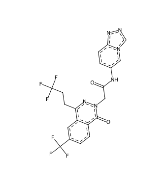 O=C(Cn1nc(CCC(F)(F)F)c2cc(C(F)(F)F)ccc2c1=O)Nc1ccc2nncn2c1